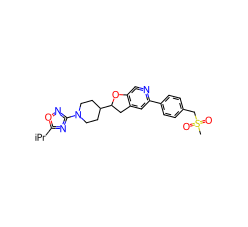 CC(C)c1nc(N2CCC(C3Cc4cc(-c5ccc(CS(C)(=O)=O)cc5)ncc4O3)CC2)no1